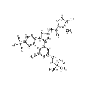 C[C@H]1C(=O)NC[C@@H]1C(=O)Nc1cc(-c2cc(P)cc(OCC(C)(P)P)c2)n(-c2cnc(C(F)(F)F)nc2)n1